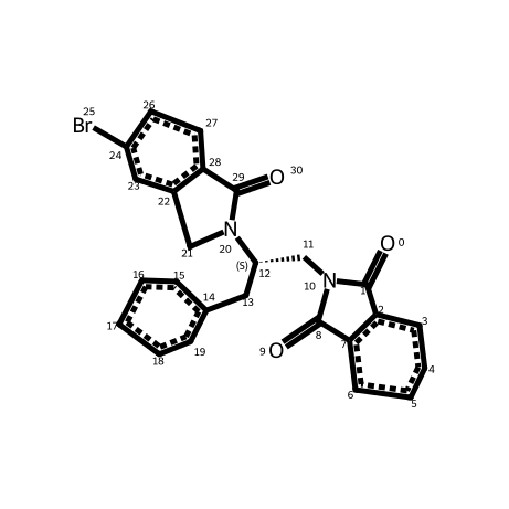 O=C1c2ccccc2C(=O)N1C[C@H](Cc1ccccc1)N1Cc2cc(Br)ccc2C1=O